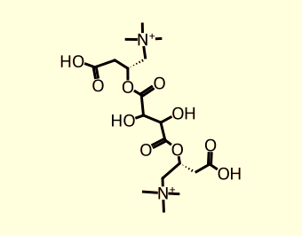 C[N+](C)(C)C[C@@H](CC(=O)O)OC(=O)C(O)C(O)C(=O)O[C@H](CC(=O)O)C[N+](C)(C)C